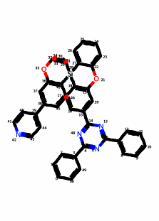 c1ccc(-c2nc(-c3ccccc3)nc(-c3ccc4c(c3)Oc3ccccc3[Si]43c4ccccc4Oc4cc(-c5ccncc5)ccc43)n2)cc1